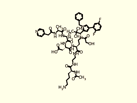 CC(=O)N[C@@H](CCCCN)C(=O)NCCNC(=O)[C@H](CCN(C(=O)CO)[C@@H](c1cc(-c2cc(F)ccc2F)cn1Cc1ccccc1)C(C)(C)C)NC(=O)[C@H](CC(=O)O)NC(=O)[C@@H](C)NC(=O)[C@H](C)NC(=O)Cc1ccncc1